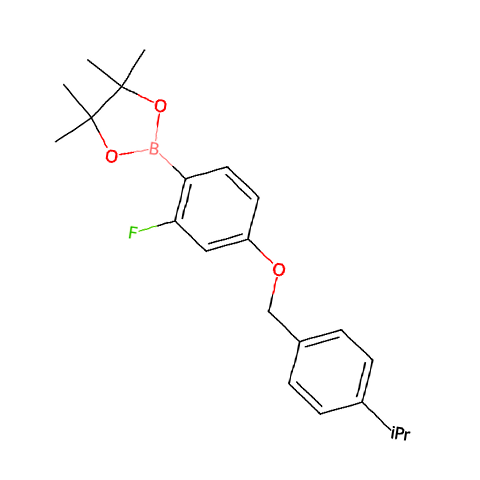 CC(C)c1ccc(COc2ccc(B3OC(C)(C)C(C)(C)O3)c(F)c2)cc1